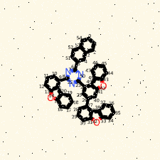 c1ccc2cc(-c3nc(-c4cccc5oc6ccccc6c45)nc(-c4cc(-c5cccc6oc7ccccc7c56)cc5oc6ccccc6c45)n3)ccc2c1